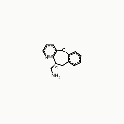 NC[C@@H]1Cc2ccccc2Oc2cccnc21